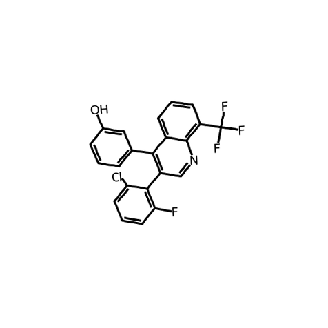 Oc1cccc(-c2c(-c3c(F)cccc3Cl)cnc3c(C(F)(F)F)cccc23)c1